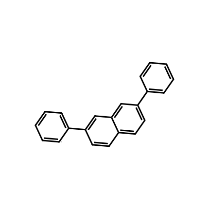 [c]1ccccc1-c1ccc2ccc(-c3ccccc3)cc2c1